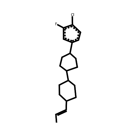 CC=CC1CCC(C2CCC(c3ccc(Cl)c(F)c3)CC2)CC1